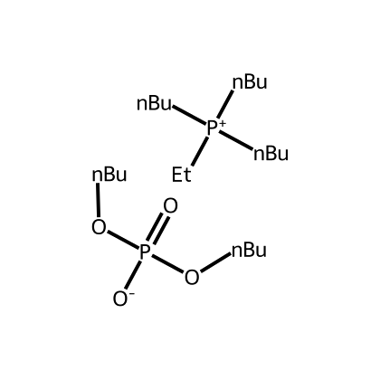 CCCCOP(=O)([O-])OCCCC.CCCC[P+](CC)(CCCC)CCCC